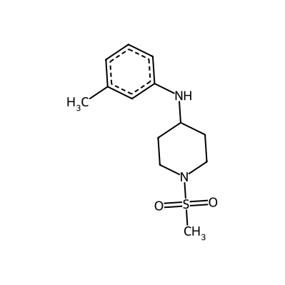 Cc1cccc(NC2CCN(S(C)(=O)=O)CC2)c1